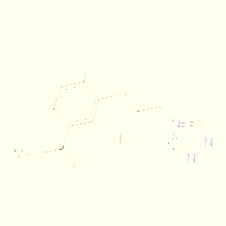 COC(=O)c1ccc(Cl)c(OCCn2cnnn2)c1C